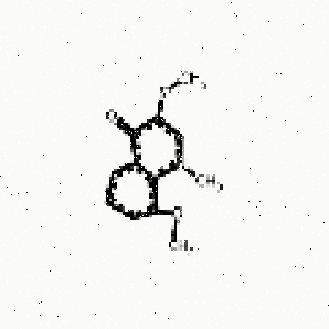 COc1cccc2c(=O)c(SC)cn(C)c12